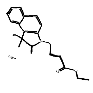 Br.CCOC(=O)CCCN1c2ccc3ccccc3c2C(C)(C)C1C